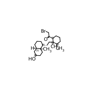 C[C@@H]1CCC[C@H](C(=O)CBr)[C@@]1(C)CC[C@H]1CCC[C@H]2C[C@H](O)CC[C@]12C